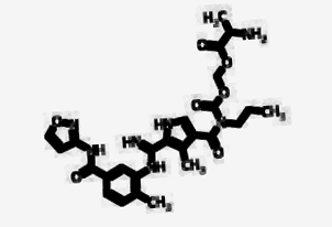 CCCN(C(=O)OCOC(=O)C(C)N)C(=O)c1c[nH]c(C(=N)Nc2cc(C(=O)Nc3ccon3)ccc2C)c1C